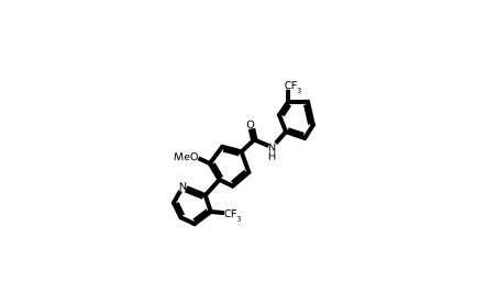 COc1cc(C(=O)Nc2cccc(C(F)(F)F)c2)ccc1-c1ncccc1C(F)(F)F